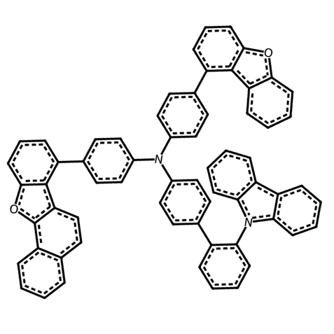 c1ccc(-n2c3ccccc3c3ccccc32)c(-c2ccc(N(c3ccc(-c4cccc5oc6ccccc6c45)cc3)c3ccc(-c4cccc5oc6c7ccccc7ccc6c45)cc3)cc2)c1